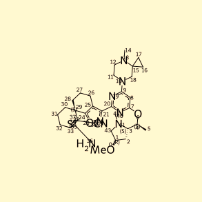 CO[C@@H]1C[C@@H]([C@H](C)Oc2cc(N3CCN(C)C4(CC4)C3)nc(-c3noc4c3CCC[C@@]43CCCc4sc(N)c(C#N)c43)n2)N(C)C1